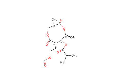 CC(C)C(=O)O[C@H]1[C@H](C)OC(=O)[C@@H](C)COC(=O)[C@@H]1CCOC=O